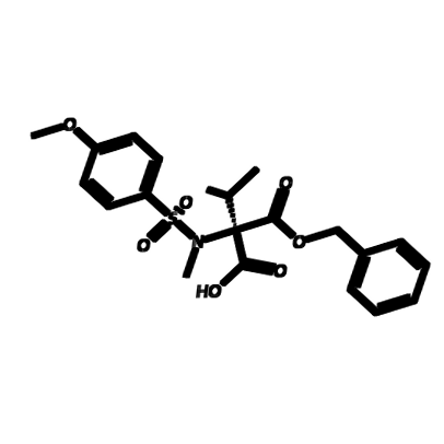 COc1ccc(S(=O)(=O)N(C)[C@](C(=O)O)(C(=O)OCc2ccccc2)C(C)C)cc1